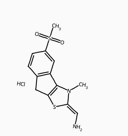 CN1C(=CN)SC2=C1c1cc(S(C)(=O)=O)ccc1C2.Cl